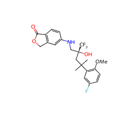 COc1ccc(F)cc1C(C)(C)C[C@@](O)(CNc1ccc2c(c1)COC2=O)C(F)(F)F